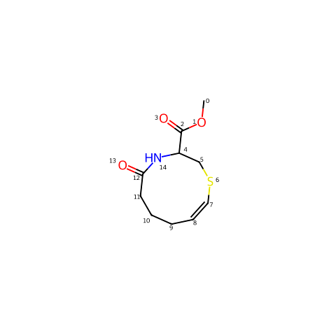 COC(=O)C1CSC=CCCCC(=O)N1